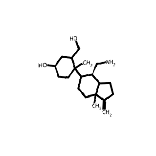 C=C1CCC2[C@H](CN)C(C3(C)CCC(O)CC3CO)CCC12C